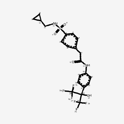 O=C(Cc1ccc(S(=O)(=O)NCC2CC2)cc1)Nc1ccc(C(O)(C(F)(F)F)C(F)(F)F)cc1